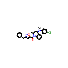 CC(=O)N(c1ccc(Cl)cc1)C1CC(C)N(C(=O)c2cc(Cc3ccccc3)no2)c2ccccc21